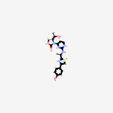 C[C@@H](Nc1nccc(N2C(=O)OC[C@@H]2[C@@H](C)O)n1)c1nc(-c2ccc(Br)cc2)cs1